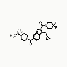 CN(C)C1CCN(C(=O)c2ccc3c(c2)cc(C(=O)N2CCC(F)(F)CC2)n3CC2CC2)CC1